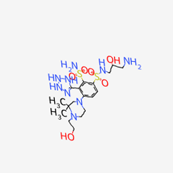 CC1(C)CN(c2ccc(S(=O)(=O)NC[C@H](O)CN)c(S(N)(=O)=O)c2C2=NNNN2)CCN1CCO